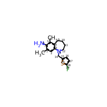 Cc1cc2c(c(C)c1N)CCCCN2Cc1ccc(F)s1